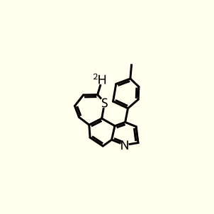 [2H]C1=CC=Cc2ccc3nccc(-c4ccc(C)cc4)c3c2S1